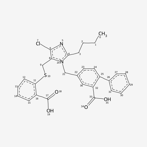 CCCCc1nc(Cl)c(CSc2ccccc2C(=O)O)n1Cc1ccc(-c2ccccc2)c(C(=O)O)c1